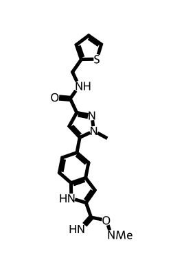 CNOC(=N)c1cc2cc(-c3cc(C(=O)NCc4cccs4)nn3C)ccc2[nH]1